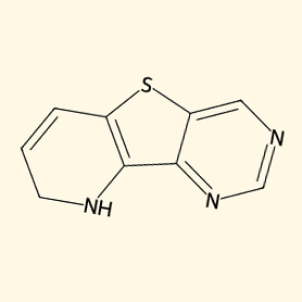 C1=Cc2sc3cncnc3c2NC1